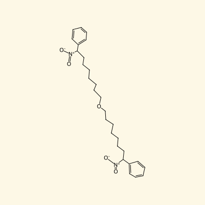 O=[N+]([O-])C(CCCCCCCOCCCCCCCC(c1ccccc1)[N+](=O)[O-])c1ccccc1